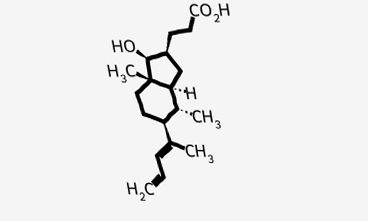 C=C/C=C(\C)[C@H]1CC[C@]2(C)[C@@H](O)[C@@H](CCC(=O)O)C[C@H]2[C@@H]1C